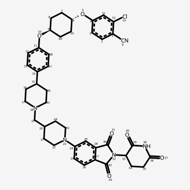 N#Cc1ccc(O[C@H]2CC[C@H](Oc3ccc(C4CCN(CC5CCN(c6ccc7c(c6)C(=O)N(C6CCC(=O)NC6=O)C7=O)CC5)CC4)cc3)CC2)cc1Cl